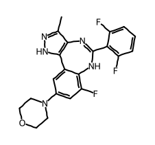 Cc1n[nH]c2c1N=C(c1c(F)cccc1F)Nc1c(F)cc(N3CCOCC3)cc1-2